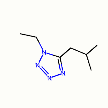 CCn1nnnc1CC(C)C